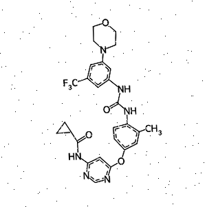 Cc1cc(Oc2cc(NC(=O)C3CC3)ncn2)ccc1NC(=O)Nc1cc(N2CCOCC2)cc(C(F)(F)F)c1